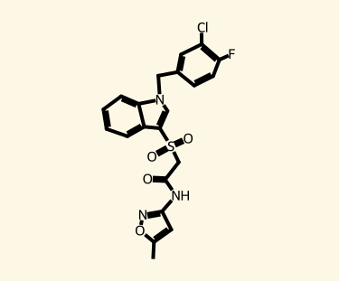 Cc1cc(NC(=O)CS(=O)(=O)c2cn(Cc3ccc(F)c(Cl)c3)c3ccccc23)no1